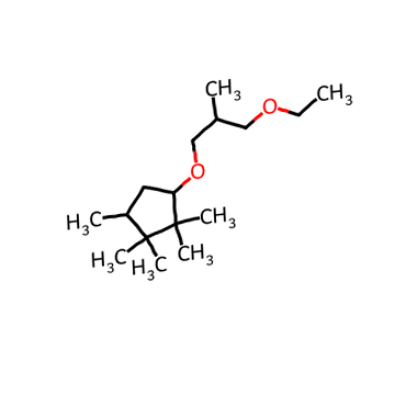 CCOCC(C)COC1CC(C)C(C)(C)C1(C)C